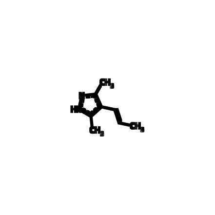 C/C=C/c1c(C)n[nH]c1C